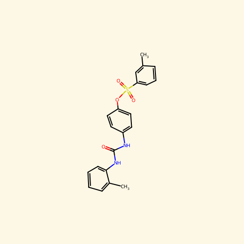 Cc1cccc(S(=O)(=O)Oc2ccc(NC(=O)Nc3ccccc3C)cc2)c1